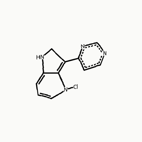 ClN1C=CC=C2NCC(c3ccncn3)=C21